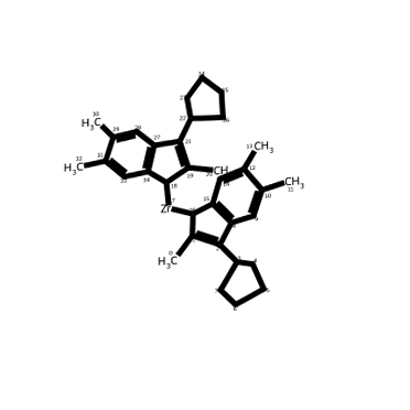 CC1=C(C2CCCC2)c2cc(C)c(C)cc2[CH]1[Zr][CH]1C(C)=C(C2CCCC2)c2cc(C)c(C)cc21